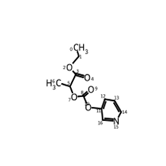 CCOC(=O)C(C)OC(=O)Oc1cccnc1